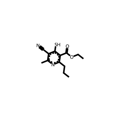 CCCc1nc(C)c(C#N)c(S)c1C(=O)OCC